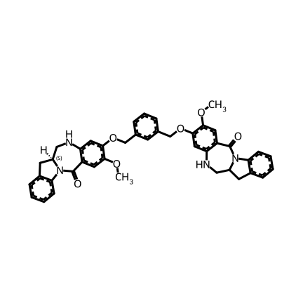 COc1cc2c(cc1OCc1cccc(COc3cc4c(cc3OC)C(=O)N3c5ccccc5C[C@H]3CN4)c1)NCC1Cc3ccccc3N1C2=O